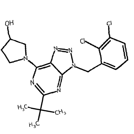 CC(C)(C)c1nc(N2CCC(O)C2)c2nnn(Cc3cccc(Cl)c3Cl)c2n1